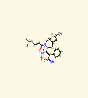 CCN/C=C(\C(=N)C(F)(F)F)c1ccccc1[C@@H]1CN(C(=O)/C=C/CN(C)C)Cc2sc(C#N)cc21